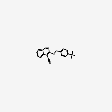 CC(C)(C)c1ccc(COc2ccc3ccccc3c2C#N)cc1